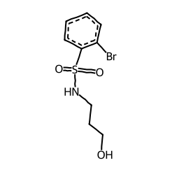 O=S(=O)(NCCCO)c1ccccc1Br